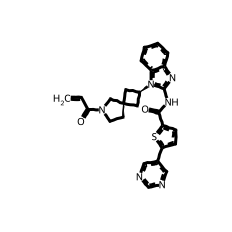 C=CC(=O)N1CC[C@]2(C1)C[C@H](n1c(NC(=O)c3ccc(-c4cncnc4)s3)nc3ccccc31)C2